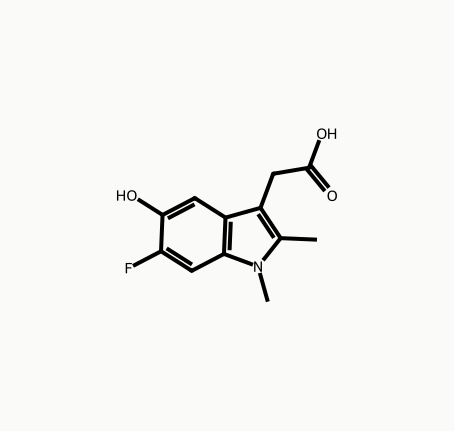 Cc1c(CC(=O)O)c2cc(O)c(F)cc2n1C